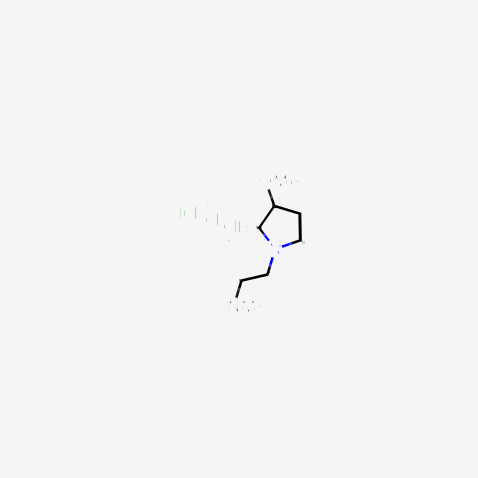 CNCCN1CCC(OC)C1.Cl.Cl.Cl